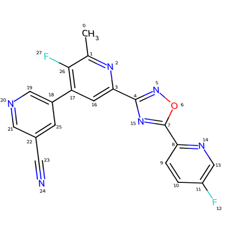 Cc1nc(-c2noc(-c3ccc(F)cn3)n2)cc(-c2cncc(C#N)c2)c1F